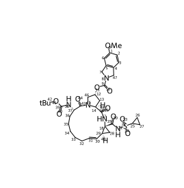 COc1ccc2c(c1)CN(C(=O)O[C@@H]1C[C@H]3C(=O)N[C@]4(C(=O)NS(=O)(=O)C5CC5)C[C@H]4/C=C/CCCCC[C@H](NC(=O)OC(C)(C)C)C(=O)N3C1)C2